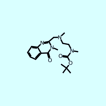 CN(CCN(C)C(=O)OC(C)(C)C)Cc1nc2ccccc2c(=O)n1C